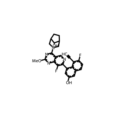 C#Cc1c(F)ccc2cc(O)cc(-c3ncc4c(N5CC6CCC(C5)C6O)nc(OC)nc4c3F)c12